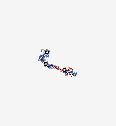 O=C1CCC(N2C(=O)c3ccc(OCCOCCN4CCN(Cc5ccc(-c6cc7c(NCc8ccccc8Cl)ncnc7[nH]6)cc5)CC4)cc3C2=O)C(=O)N1